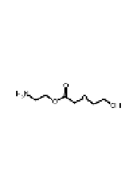 NCCOC(=O)COCCO